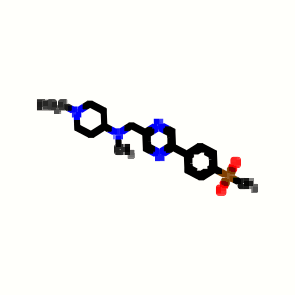 CCOC(=O)N1CCC(N(C)Cc2cnc(-c3ccc(S(C)(=O)=O)cc3)cn2)CC1